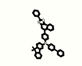 CC1(C)c2ccccc2-c2cc(N(c3ccc(-c4ccccc4)cc3)c3ccc(-c4cc5nc(-c6ccccc6)oc5c5ccccc45)cc3)ccc21